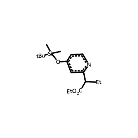 CCOC(=O)C(CC)c1cc(O[Si](C)(C)C(C)(C)C)ccn1